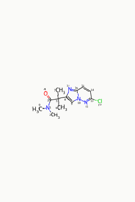 CN(C)C(=O)C(C)(C)c1cn2nc(Cl)ccc2n1